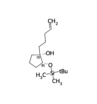 C=CCCC[C@]1(O)CCC[C@H]1O[Si](C)(C)C(C)(C)C